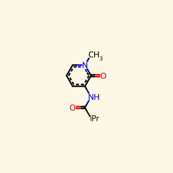 CC(C)C(=O)Nc1cccn(C)c1=O